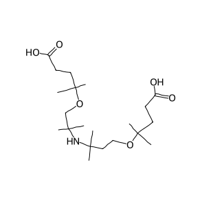 CC(C)(CCOC(C)(C)CCC(=O)O)NC(C)(C)COC(C)(C)CCC(=O)O